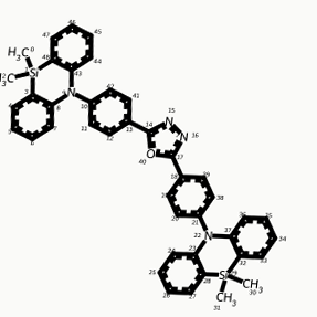 C[Si]1(C)c2ccccc2N(c2ccc(-c3nnc(-c4ccc(N5c6ccccc6[Si](C)(C)c6ccccc65)cc4)o3)cc2)c2ccccc21